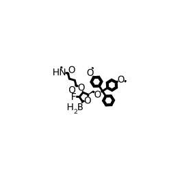 B[C@@H]1O[C@H](COC(c2ccccc2)(c2ccc(OC)cc2)c2ccc(OC)cc2)[C@H](OC(=O)CCC(=O)NC)C1F